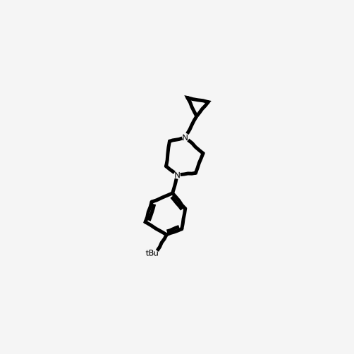 CC(C)(C)c1ccc(N2CCN(C3CC3)CC2)cc1